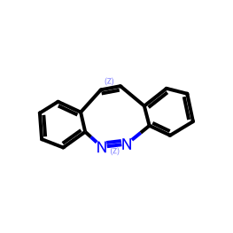 C1=C\c2ccccc2/N=N\c2ccccc2/1